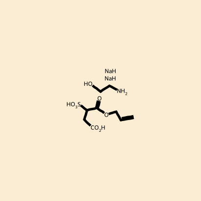 C=CCOC(=O)C(CC(=O)O)S(=O)(=O)O.NCCO.[NaH].[NaH]